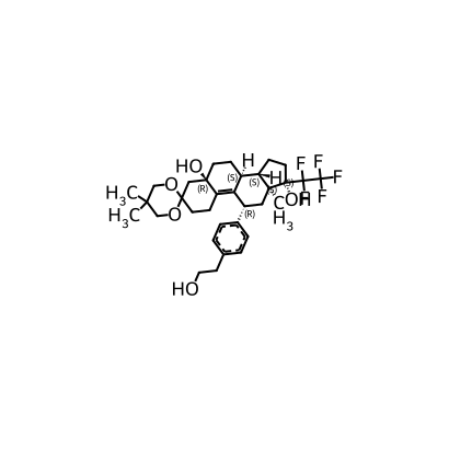 CC1(C)COC2(CCC3=C4[C@@H](CC[C@@]3(O)C2)[C@@H]2CC[C@@](O)(C(F)(F)C(F)(F)F)[C@@]2(C)C[C@@H]4c2ccc(CCO)cc2)OC1